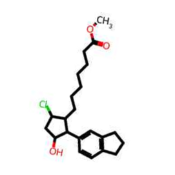 COC(=O)CCCCCCC1C(Cl)CC(O)C1c1ccc2c(c1)CCC2